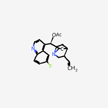 C=CC1CN2CCC1CC2[C@H](OC(C)=O)c1ccnc2ccc(F)cc12